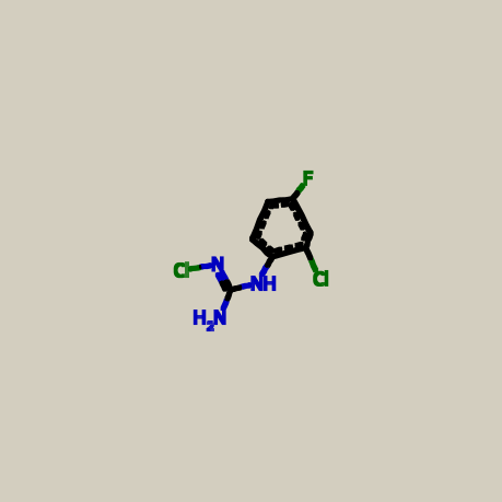 NC(=NCl)Nc1ccc(F)cc1Cl